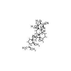 C=C(C)[C@@H]1CC[C@](C#N)(CC[C@]2(C)CCC[C@@H]3[C@@]4(C)C=C(C#N)C(=O)C(C)(C)[C@@H]4CC[C@]32C)[C@H]1C